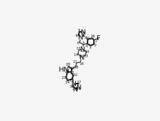 Fc1ccc(C(Cn2ccnc2)N2CCN(CCCc3c[nH]c4ccc(-n5cnnc5)cc34)CC2)cc1